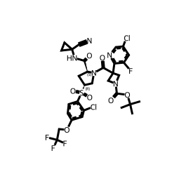 CC(C)(C)OC(=O)N1CC(C(=O)N2C[C@H](S(=O)(=O)c3ccc(OCC(F)(F)F)cc3Cl)C[C@H]2C(=O)NC2(C#N)CC2)(c2ncc(Cl)cc2F)C1